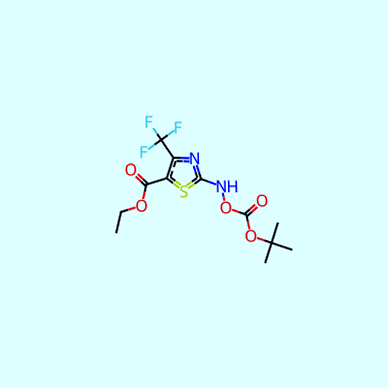 CCOC(=O)c1sc(NOC(=O)OC(C)(C)C)nc1C(F)(F)F